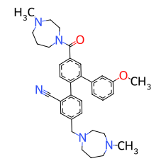 COc1cccc(-c2cc(C(=O)N3CCCN(C)CC3)ccc2-c2ccc(CN3CCCN(C)CC3)cc2C#N)c1